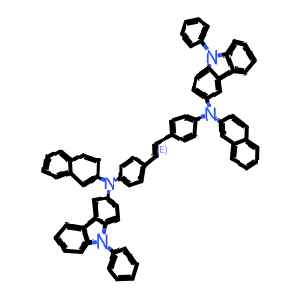 C(=C\c1ccc(N(c2ccc3ccccc3c2)c2ccc3c(c2)c2ccccc2n3-c2ccccc2)cc1)/c1ccc(N(c2ccc3ccccc3c2)c2ccc3c(c2)c2ccccc2n3-c2ccccc2)cc1